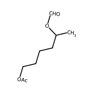 CC(=O)OCCCCC(C)OC=O